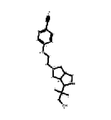 CC(C)(CO)C1NCC2CN(CCOc3ccc(C#N)cc3)CC21